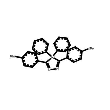 CC(C)(C)c1ccc(C2=NN=C(c3ccc(C(C)(C)C)cc3)[N+]2(c2ccccc2)c2ccccc2)cc1